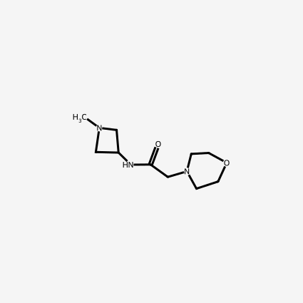 CN1CC(NC(=O)CN2CCOCC2)C1